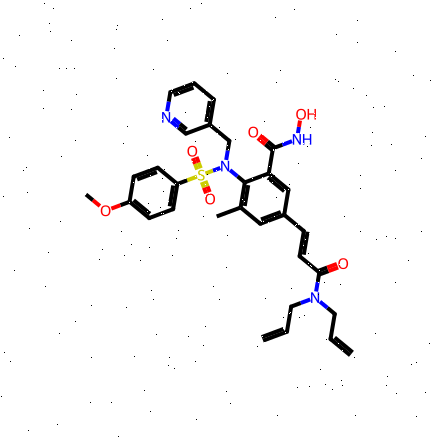 C=CCN(CC=C)C(=O)C=Cc1cc(C)c(N(Cc2cccnc2)S(=O)(=O)c2ccc(OC)cc2)c(C(=O)NO)c1